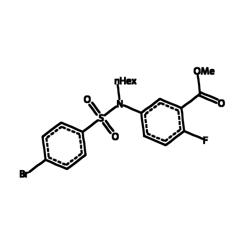 CCCCCCN(c1ccc(F)c(C(=O)OC)c1)S(=O)(=O)c1ccc(Br)cc1